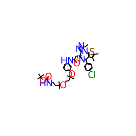 Cc1sc2c(c1C)C(c1ccc(Cl)cc1)=N[C@@H](CC(=O)Nc1cccc(OC(C)(C)CCOC(C)(C)CCNC(=O)OC(C)(C)C)c1)c1nnc(C)n1-2